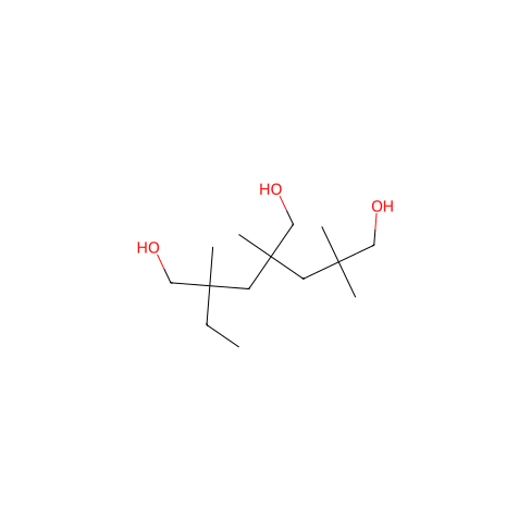 CCC(C)(CO)CC(C)(CO)CC(C)(C)CO